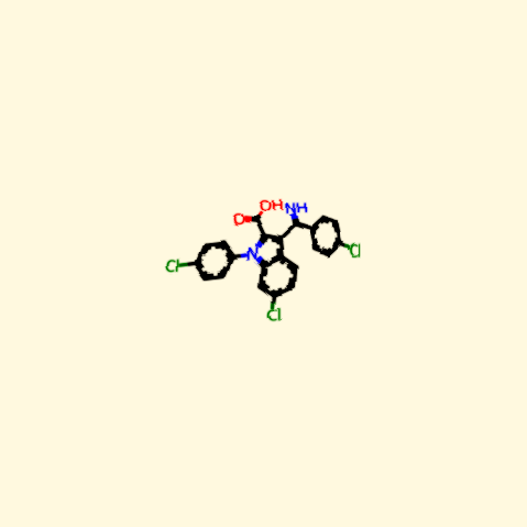 N=C(c1ccc(Cl)cc1)c1c(C(=O)O)n(-c2ccc(Cl)cc2)c2cc(Cl)ccc12